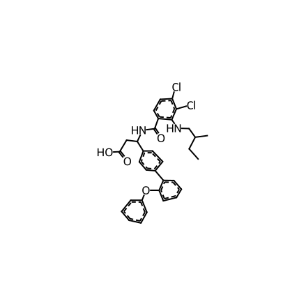 CCC(C)CNc1c(C(=O)NC(CC(=O)O)c2ccc(-c3ccccc3Oc3ccccc3)cc2)ccc(Cl)c1Cl